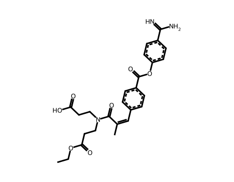 CCOC(=O)CCN(CCC(=O)O)C(=O)C(C)=Cc1ccc(C(=O)Oc2ccc(C(=N)N)cc2)cc1